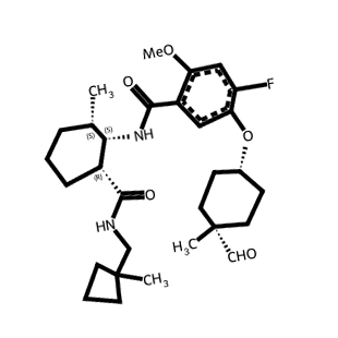 COc1cc(F)c(O[C@H]2CC[C@@](C)(C=O)CC2)cc1C(=O)N[C@H]1[C@@H](C)CCC[C@H]1C(=O)NCC1(C)CCC1